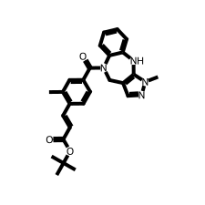 Cc1cc(C(=O)N2Cc3cnn(C)c3Nc3ccccc32)ccc1C=CC(=O)OC(C)(C)C